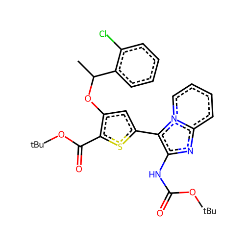 CC(Oc1cc(-c2c(NC(=O)OC(C)(C)C)nc3ccccn23)sc1C(=O)OC(C)(C)C)c1ccccc1Cl